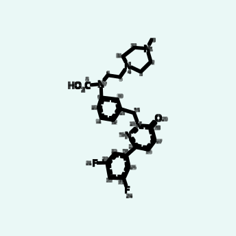 CN1CCN(CCN(C(=O)O)c2cccc(Cn3nc(-c4cc(F)cc(F)c4)ccc3=O)c2)CC1